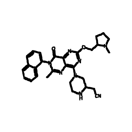 Cc1nc2c(N3CCNC(CC#N)C3)nc(OCC3CCCN3C)nc2c(=O)n1-c1cccc2ccccc12